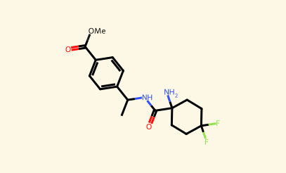 COC(=O)c1ccc(C(C)NC(=O)C2(N)CCC(F)(F)CC2)cc1